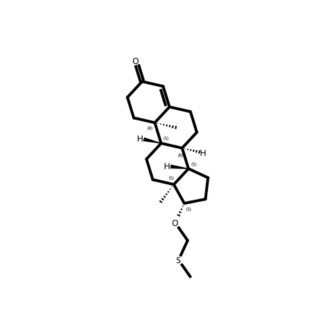 CSCO[C@H]1CC[C@H]2[C@@H]3CCC4=CC(=O)CC[C@]4(C)[C@H]3CC[C@]12C